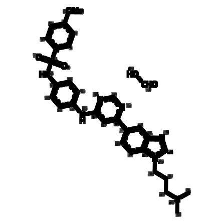 COc1ccc(S(=O)(=O)Nc2ccc(Nc3cc(-c4ccc5c(c4)ncn5CCCN(C)C)ncn3)cc2)cc1.O=CO